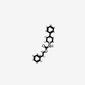 O=C(NN1CCC(c2ccccc2)CC1)OCCc1ccccc1